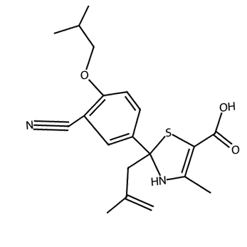 C=C(C)CC1(c2ccc(OCC(C)C)c(C#N)c2)NC(C)=C(C(=O)O)S1